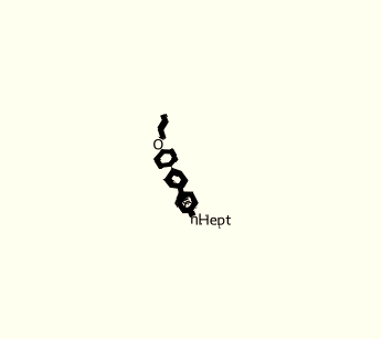 C/C=C/CO[C@H]1CC[C@H](c2ccc(C34CCC(CCCCCCC)(CC3)CC4)cc2)CC1